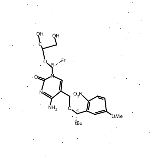 CC[C@@H](OC(CO)CO)n1cc(CO[C@H](c2cc(OC)ccc2[N+](=O)[O-])C(C)(C)C)c(N)nc1=O